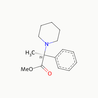 COC(=O)[C@](C)(c1ccccc1)N1CCCCC1